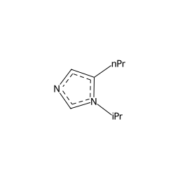 CCCc1cncn1C(C)C